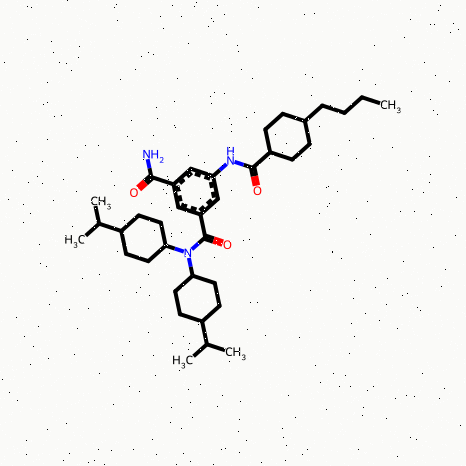 CCCCC1CCC(C(=O)Nc2cc(C(N)=O)cc(C(=O)N(C3CCC(C(C)C)CC3)C3CCC(C(C)C)CC3)c2)CC1